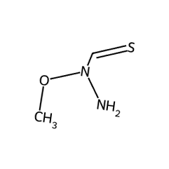 CON(N)C=S